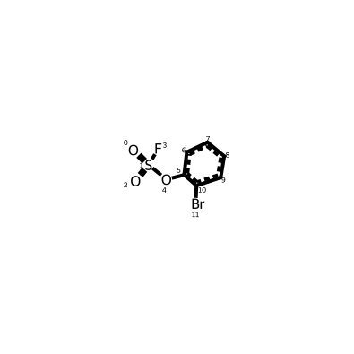 O=S(=O)(F)Oc1ccccc1Br